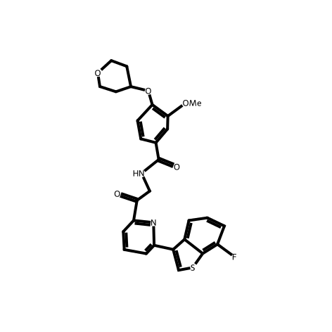 COc1cc(C(=O)NCC(=O)c2cccc(-c3csc4c(F)cccc34)n2)ccc1OC1CCOCC1